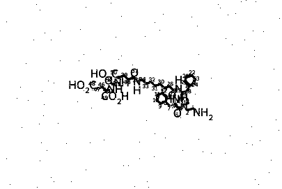 NCCNC(=O)[C@H](Cc1ccccc1)NC(=O)[C@H](Cc1ccccc1)NC(=O)CCCCCCCNC(=O)CCC(NC(=O)NC(CCC(=O)O)C(=O)O)C(=O)O